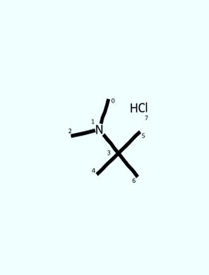 CN(C)C(C)(C)C.Cl